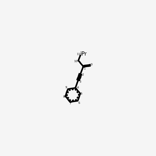 C=C(C#Cc1ccccc1)CC(C)C